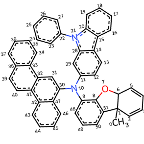 CC12C=CC=CC1Oc1c(N(c3ccc4c5ccccc5n(-c5ccccc5)c4c3)c3cc4c5ccccc5ccc4c4ccccc34)cccc12